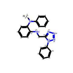 CN(c1ccccc1)c1ccccc1NCc1nnnn1-c1ccccc1